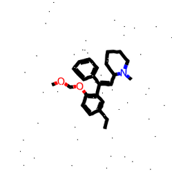 CCc1ccc(OCOC)c(C(=CC2CCCCN2C)c2ccccc2)c1